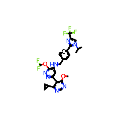 COc1ncnc(C2CC2)c1-c1cc(NCc2ccc(-c3nc(C(F)(F)F)cn3C(C)C)cc2)c(OC(F)F)nn1